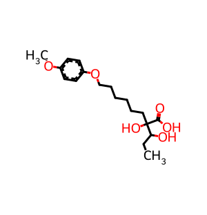 CCC(O)C(O)(CCCCCCOc1ccc(OC)cc1)C(=O)O